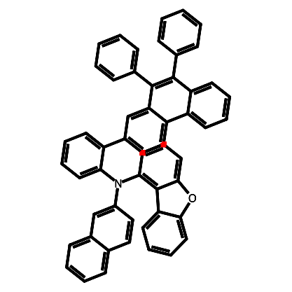 c1ccc(-c2c(-c3ccccc3)c3cc(-c4ccccc4N(c4ccc5ccccc5c4)c4cccc5oc6ccccc6c45)ccc3c3ccccc23)cc1